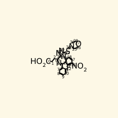 O=C(O)CC[C@@H]1N=C(c2ccccc2F)c2cc([N+](=O)[O-])ccc2-n2c(SCN3CCOCC3)nnc21